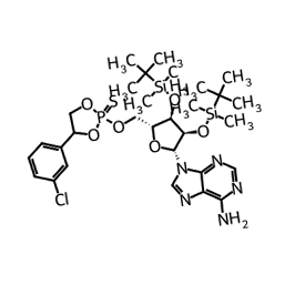 CC(C)(C)[Si](C)(C)O[C@@H]1[C@H](O[Si](C)(C)C(C)(C)C)[C@@H](COP2(=S)OCC(c3cccc(Cl)c3)O2)O[C@H]1n1cnc2c(N)ncnc21